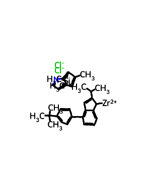 CC(C)C1=Cc2c(-c3ccc(C(C)(C)C)cc3)cccc2[CH]1[Zr+2].CC1=C2C3=CC=NC3=C1[Si]2(C)C.[Cl-].[Cl-]